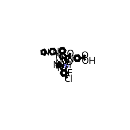 O=C(O)c1ccc(NC(=O)C2c3cccc(N4CCC(N5CCCC5)CC4)c3CCN2C(=O)/C=C/c2c(N3C=NNN3)ccc(Cl)c2F)cc1